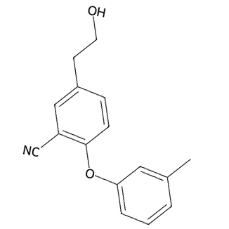 Cc1cccc(Oc2ccc(CCO)cc2C#N)c1